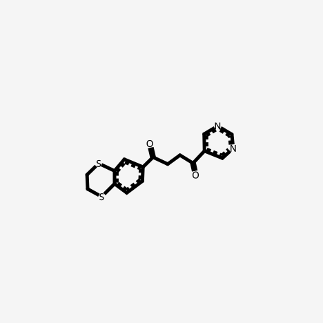 O=C(CCC(=O)c1ccc2c(c1)SCCS2)c1cncnc1